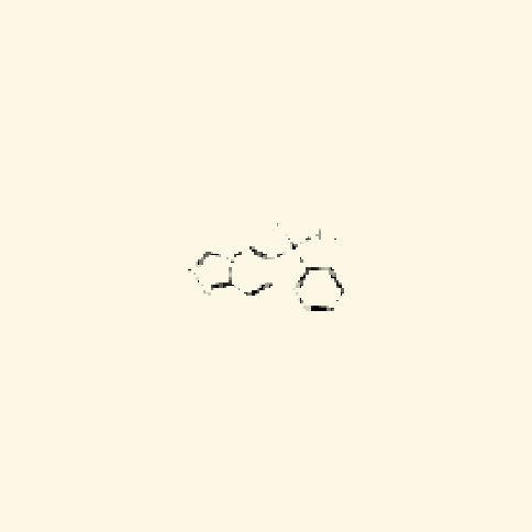 NC(c1ccccc1)(c1ccc2nncn2c1)C(F)(F)F